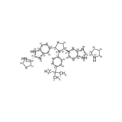 CC(C)(C)c1ccc(N2C(c3ccc4[nH]c([C@@H]5CCCN5)nc4c3)CC[C@H]2c2ccc3[nH]c([C@@H]4CCCN4)nc3c2)cc1